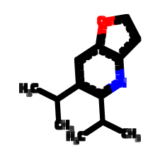 CC(C)c1cc2occc2nc1C(C)C